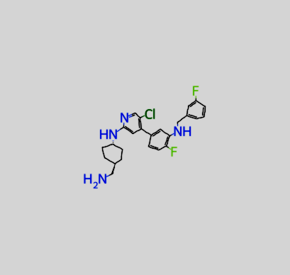 NC[C@H]1CC[C@H](Nc2cc(-c3ccc(F)c(NCc4cccc(F)c4)c3)c(Cl)cn2)CC1